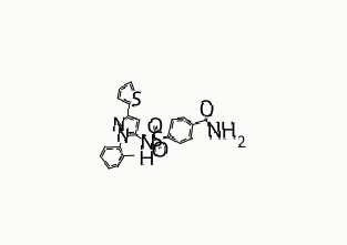 Cc1ccccc1-n1nc(-c2cccs2)cc1NS(=O)(=O)c1ccc(C(N)=O)cc1